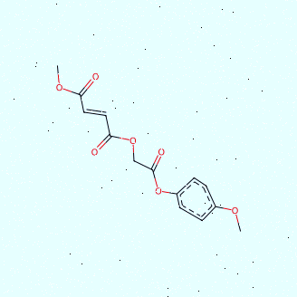 COC(=O)C=CC(=O)OCC(=O)Oc1ccc(OC)cc1